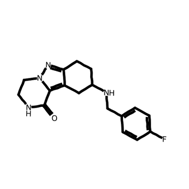 O=C1NCCn2nc3c(c21)CC(NCc1ccc(F)cc1)CC3